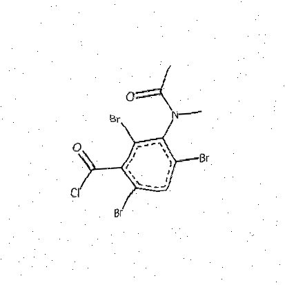 CC(=O)N(C)c1c(Br)cc(Br)c(C(=O)Cl)c1Br